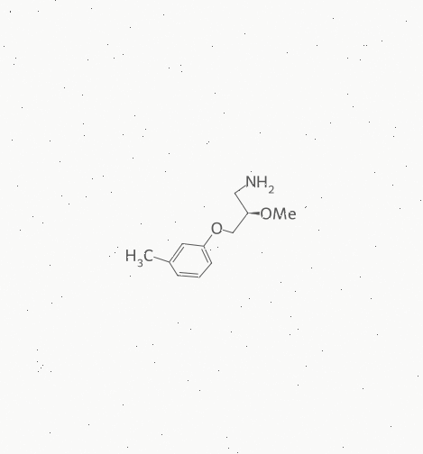 CO[C@H](CN)COc1cccc(C)c1